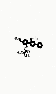 C=C(C)C(=O)OCc1cc(CCO)ccc1-c1ccc(-c2ccccc2)cc1CC